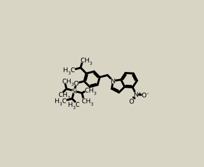 CC(C)c1cc(Cn2ccc3c([N+](=O)[O-])cccc32)ccc1O[Si](C(C)C)(C(C)C)C(C)C